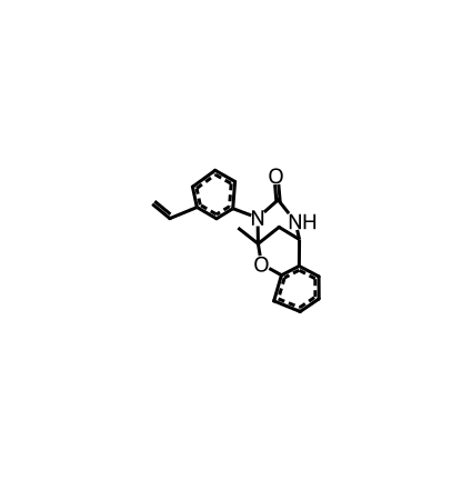 C=Cc1cccc(N2C(=O)NC3CC2(C)Oc2ccccc23)c1